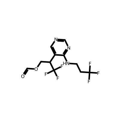 O=COCC(c1cncnc1NCCC(F)(F)F)C(F)(F)F